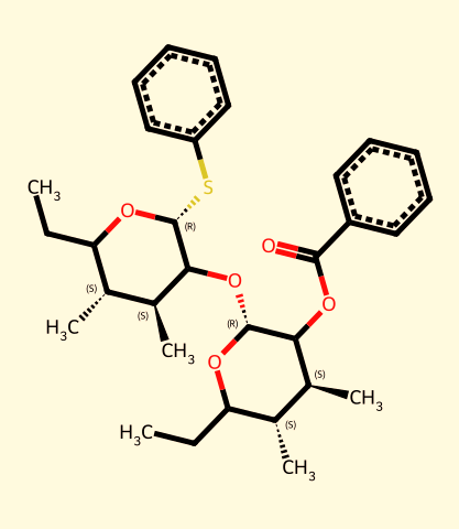 CCC1O[C@H](OC2[C@@H](Sc3ccccc3)OC(CC)[C@@H](C)[C@@H]2C)C(OC(=O)c2ccccc2)[C@@H](C)[C@@H]1C